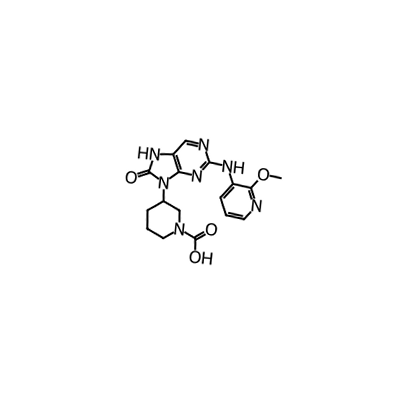 COc1ncccc1Nc1ncc2[nH]c(=O)n(C3CCCN(C(=O)O)C3)c2n1